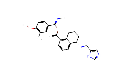 C=C(S/C(=N\C)c1ccc(OC(C)C)c(C#N)c1)c1cccc2c1CCC[C@@H]2NCc1cnc[nH]1